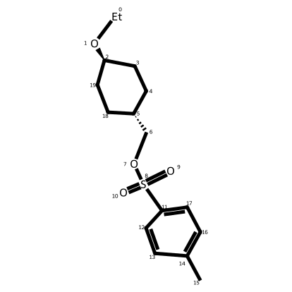 CCO[C@H]1CC[C@H](COS(=O)(=O)c2ccc(C)cc2)CC1